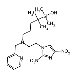 CC(C)(CCCN(CCn1cc([N+](=O)[O-])nc1[N+](=O)[O-])Cc1ccccn1)[Si](C)(C)O